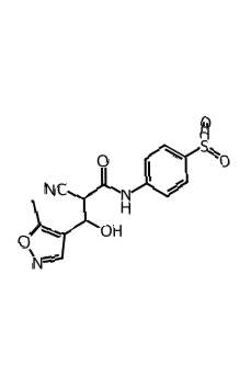 Cc1oncc1C(O)C(C#N)C(=O)Nc1ccc([SH](=O)=O)cc1